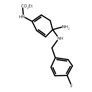 CCOC(=O)NC1=CCC(N)(NCc2ccc(F)cc2)C=C1